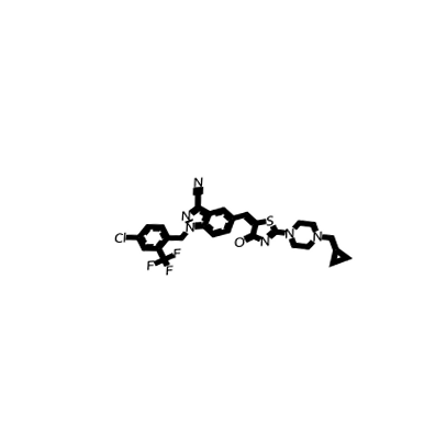 N#Cc1nn(Cc2ccc(Cl)cc2C(F)(F)F)c2ccc(/C=C3/SC(N4CCN(CC5CC5)CC4)=NC3=O)cc12